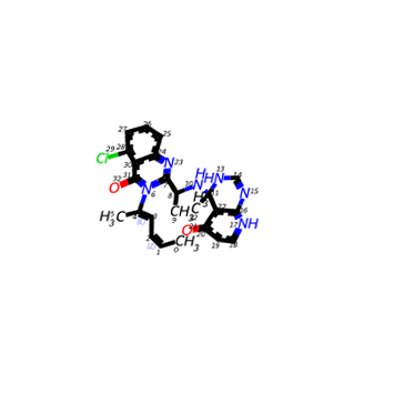 C/C=C\C=C(/C)n1c(C(C)NC2(C)NC=Nc3[nH]ccc(=O)c32)nc2cccc(Cl)c2c1=O